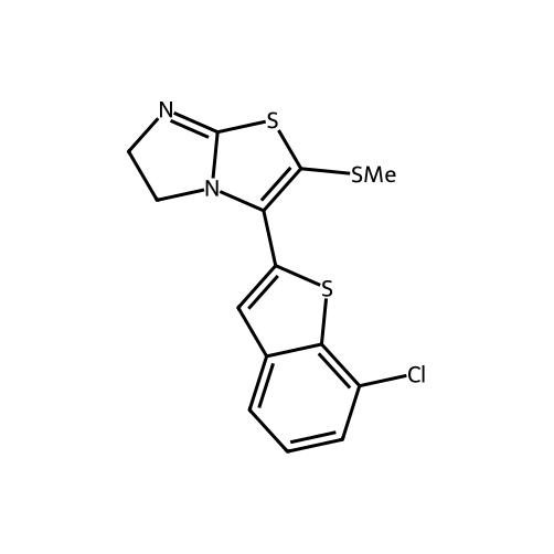 CSC1=C(c2cc3cccc(Cl)c3s2)N2CCN=C2S1